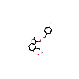 Cc1[nH]c2ccc(O)c(CN(C)C)c2c1C(=O)OCc1ccc(F)cc1